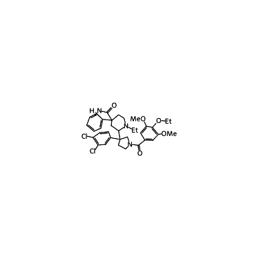 CCOc1c(OC)cc(C(=O)N2CCC(c3ccc(Cl)c(Cl)c3)(C3CC(C(N)=O)(c4ccccc4)CCN3CC)C2)cc1OC